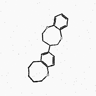 c1ccc2c(c1)OCCC(c1ccc3c(c1)CCCCCO3)CO2